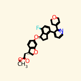 COC(=O)C[C@@H]1COc2cc(O[C@@H]3CCc4c(-c5cccnc5C5=CCOCC5)ccc(F)c43)ccc21